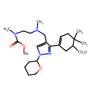 CN(CCN(C)C(=O)OC(C)(C)C)Cc1cn(C2CCCCO2)nc1C1=CCC(C)(C)C(C(=O)O)C1